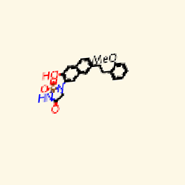 COc1ccccc1CCc1ccc2cc(O)c(N3CC(=O)NS3(=O)=O)cc2c1